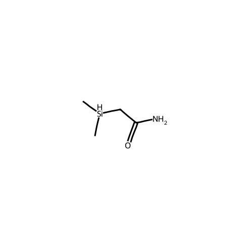 C[SiH](C)CC(N)=O